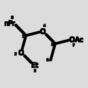 CCCC(OCC)OC(C)OC(C)=O